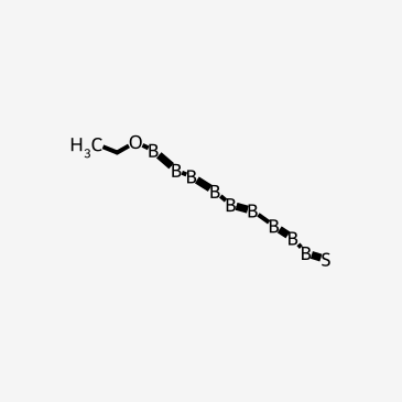 CCOB=BB=BB=BB=BB=S